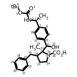 C[C@H](NC(=O)OC(C)(C)C)c1ccc(C(O)[C@]2(C)C(Cc3ccccc3)CCN2C(=O)O)cc1